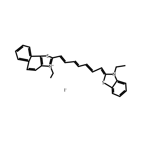 CCN1C(=CC=CC=CC=Cc2sc3c4ccccc4ccc3[n+]2CC)Sc2ccccc21.[I-]